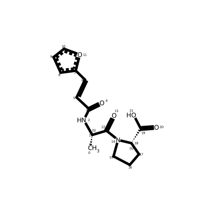 C[C@H](NC(=O)C=Cc1ccco1)C(=O)N1CCC[C@H]1C(=O)O